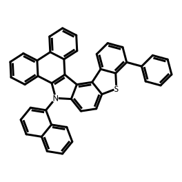 c1ccc(-c2cccc3c2sc2ccc4c(c23)c2c3ccccc3c3ccccc3c2n4-c2cccc3ccccc23)cc1